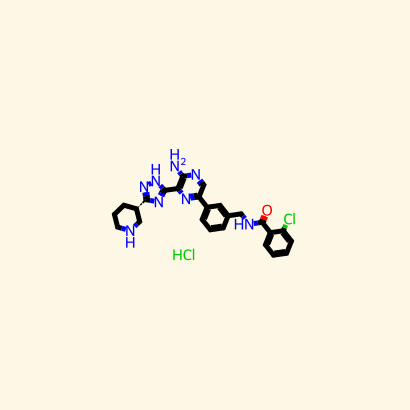 Cl.Nc1ncc(-c2cccc(CNC(=O)c3ccccc3Cl)c2)nc1-c1nc([C@H]2CCCNC2)n[nH]1